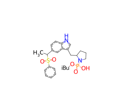 CCC(C)OP(=O)(O)N1CCCC1Cc1c[nH]c2ccc(C(C)S(=O)(=O)c3ccccc3)cc12